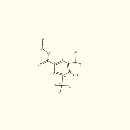 CCOC(=O)c1cc(C(C)C)c(O)c(C(C)(C)C)c1